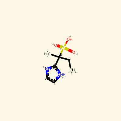 CCC(C)(c1ncc[nH]1)S(=O)(=O)O